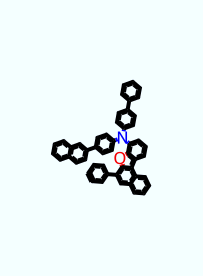 c1ccc(-c2cc3ccccc3c3c2oc2c(N(c4ccc(-c5ccccc5)cc4)c4ccc(-c5ccc6ccccc6c5)cc4)cccc23)cc#1